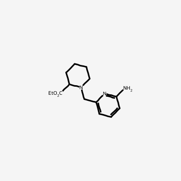 CCOC(=O)C1CCCCN1Cc1cccc(N)n1